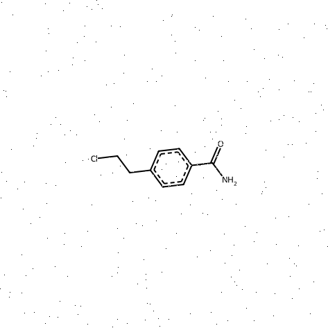 NC(=O)c1ccc(CCCl)cc1